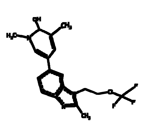 CC1=CC(c2ccc3nc(C)n(CCOC(F)(F)F)c3c2)=CN(C)C1O